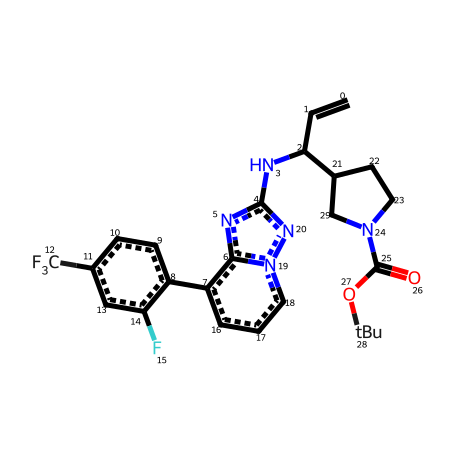 C=CC(Nc1nc2c(-c3ccc(C(F)(F)F)cc3F)cccn2n1)C1CCN(C(=O)OC(C)(C)C)C1